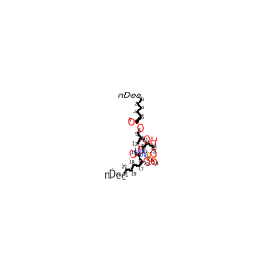 CCCCCCCCCCCCCCCC(=O)OCC(O)COC(=O)C(CCCCCCCCCCCCCC)OP1(=O)NCCCO1